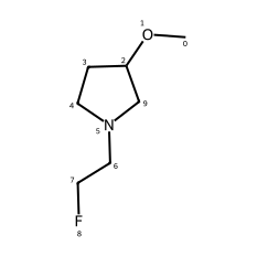 COC1CCN(CCF)C1